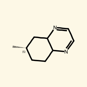 C[C@H]1CCC2N=CC=NC2C1